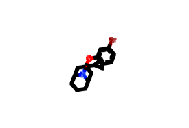 Brc1cccc(OC2CC3CCCC(C2)N3CC2CC2)c1